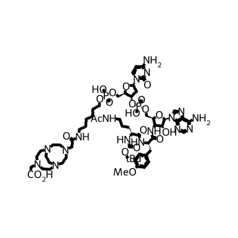 COc1ccc(C[C@H](NC(=O)[C@@H](CCCNC(C)=O)NC(=O)OC(C)(C)C)C(=O)NC2[C@@H](COP(=O)(O)O[C@@H]3C[C@H](n4ccc(N)nc4=O)O[C@@H]3COP(=O)(O)OCCCCCCNC(=O)CN3CCN4CCN(CCN(CC(=O)O)CC4)CC3)O[C@@H](n3cnc4c(N)ncnc43)[C@H]2O)cc1